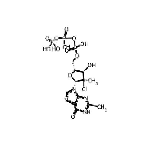 Cc1nc2c(ncn2[C@@H]2O[C@H](COP(=O)(O)OP(=O)(O)OP(=O)(O)O)[C@@H](O)[C@@]2(C)Cl)c(=O)[nH]1